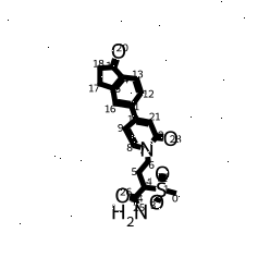 CS(=O)(=O)C(CCn1ccc(-c2ccc3c(c2)CCC3=O)cc1=O)C(N)=O